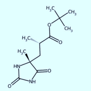 C[C@@H](C[C@@]1(C)NC(=O)NC1=O)C(=O)OC(C)(C)C